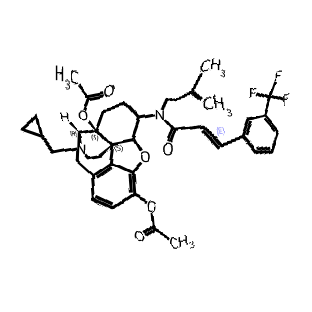 CC(=O)Oc1ccc2c3c1OC1C(N(CC(C)C)C(=O)/C=C/c4cccc(C(F)(F)F)c4)CC[C@@]4(OC(C)=O)[C@@H](C2)N(CC2CC2)CC[C@]314